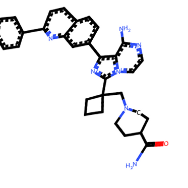 NC(=O)C1CCN(CC2(c3nc(-c4ccc5ccc(-c6ccccc6)nc5c4)c4c(N)nccn34)CCC2)CC1